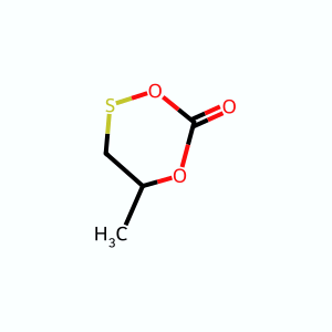 CC1CSOC(=O)O1